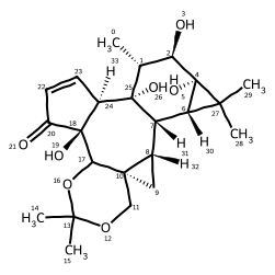 C[C@@H]1[C@@H](O)[C@]2(O)[C@@H]([C@@H]3[C@@H]4C[C@@]45COC(C)(C)OC5[C@]4(O)C(=O)C=C[C@H]4[C@]31O)C2(C)C